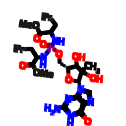 COC(=O)C(CC(C)C)NP(=O)(NC(CC(C)C)C(=O)OC)OC[C@H]1O[C@@H](n2cnc3c(=O)[nH]c(N)nc32)C(C)(O)C1O